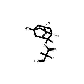 CCC(C)(C=N)C(=O)OC1(C)C2C[C@@H]3C[C@@H]1CC(O)(C2)C3